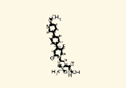 COc1ccc(-c2ccc(-c3cc(=O)n(CC[C@H](C(=O)NO)S(C)(=O)=O)cc3F)cc2)cn1